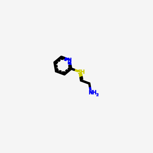 NCC=[SH]c1ccccn1